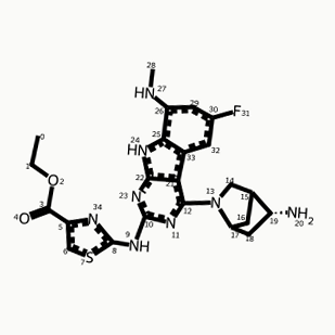 CCOC(=O)c1csc(Nc2nc(N3CC4CC3C[C@H]4N)c3c(n2)[nH]c2c(NC)cc(F)cc23)n1